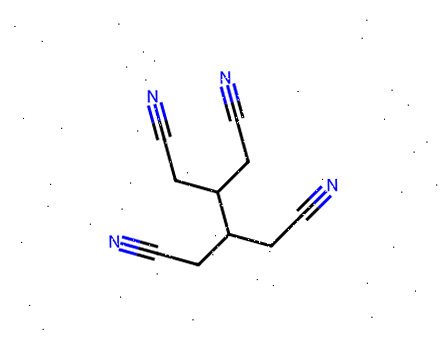 N#CCC(CC#N)C(CC#N)CC#N